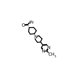 Cc1ncc(C2CCN([C@H]3CC[C@@H](C(=O)C(C)C)CC3)CC2)cn1